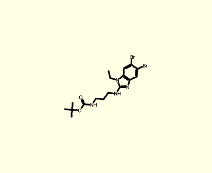 CCn1c(NCCCNC(=O)OC(C)(C)C)nc2cc(Br)c(Br)cc21